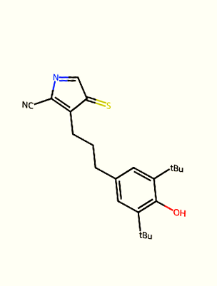 CC(C)(C)c1cc(CCCC2=C(C#N)N=CC2=S)cc(C(C)(C)C)c1O